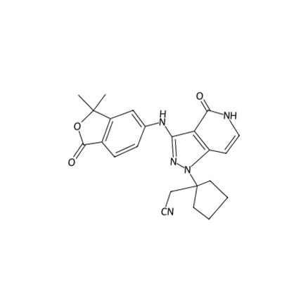 CC1(C)OC(=O)c2ccc(Nc3nn(C4(CC#N)CCCC4)c4cc[nH]c(=O)c34)cc21